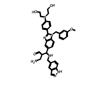 COc1cccc(Cn2c(-c3ccc(N(CCO)CCO)cc3)nc3cc(C(NCc4ccc5[nH]ncc5c4)C(C=O)CN)ccc32)c1